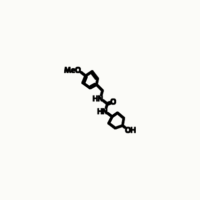 COc1ccc(CNC(=O)NC2CCC(O)CC2)cc1